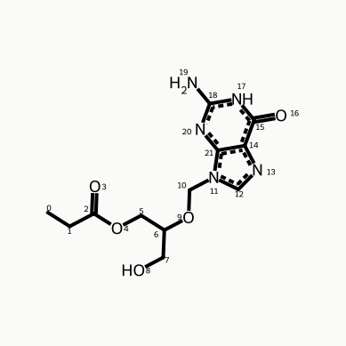 CCC(=O)OCC(CO)OCn1cnc2c(=O)[nH]c(N)nc21